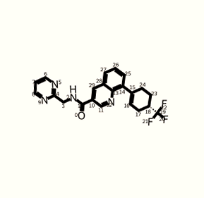 O=C(NCc1ncccn1)c1cnc2c(C3=CC[C@@H](C(F)(F)F)CC3)cccc2c1